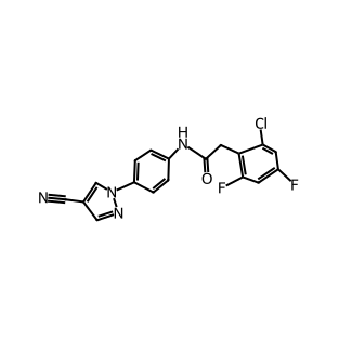 N#Cc1cnn(-c2ccc(NC(=O)Cc3c(F)cc(F)cc3Cl)cc2)c1